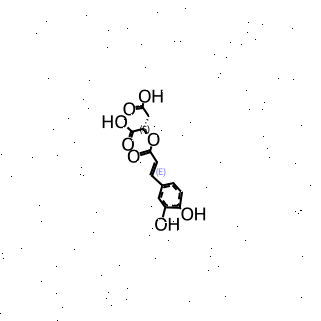 O=C(O)C[C@H](OC(=O)/C=C/c1ccc(O)c(O)c1)C(=O)O